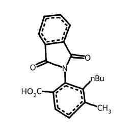 CCCCc1c(C)ccc(C(=O)O)c1N1C(=O)c2ccccc2C1=O